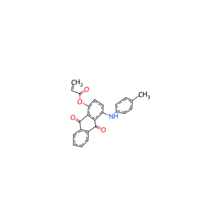 C=CC(=O)Oc1ccc(Nc2ccc(C)cc2)c2c1C(=O)c1ccccc1C2=O